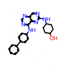 OC1CCC(Nc2ncc3ncnc(Nc4ccc(-c5ccccc5)cc4)c3n2)CC1